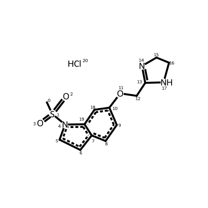 CS(=O)(=O)n1ccc2ccc(OCC3=NCCN3)cc21.Cl